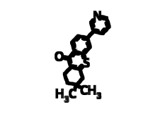 CC1(C)CCc2c(sc3cc(-c4cccnc4)ccc3c2=O)C1